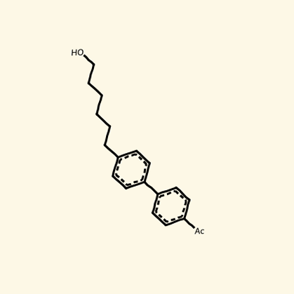 CC(=O)c1ccc(-c2ccc(CCCCCCO)cc2)cc1